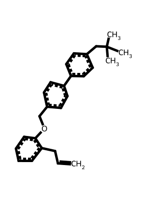 C=CCc1ccccc1OCc1ccc(-c2ccc(CC(C)(C)C)cc2)cc1